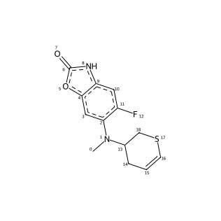 CN(c1cc2oc(=O)[nH]c2cc1F)C1CC=CSC1